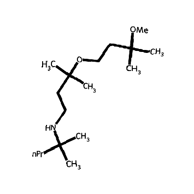 CCCC(C)(C)NCCC(C)(C)OCCC(C)(C)OC